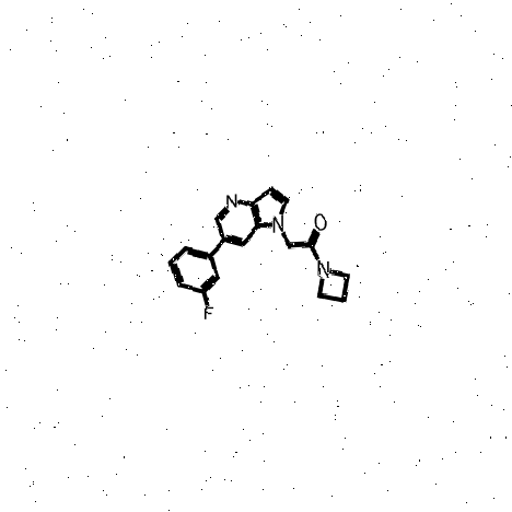 O=C(Cn1ccc2ncc(-c3cccc(F)c3)cc21)N1CCC1